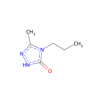 CCCn1c(C)n[nH]c1=O